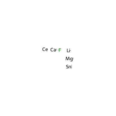 [Ca].[Ce].[F].[Li].[Mg].[Sn]